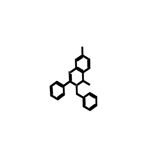 Cc1ccc2c(c1)N=C(c1ccccc1)N(Cc1ccccc1)C2C